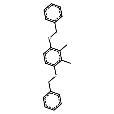 Cc1c(OCc2ccccc2)ccc(OCc2ccccc2)c1C